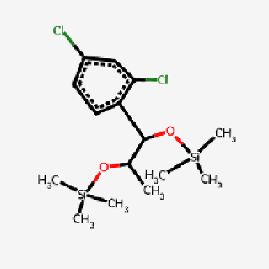 CC(O[Si](C)(C)C)C(O[Si](C)(C)C)c1ccc(Cl)cc1Cl